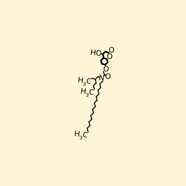 CCCCCCCCCCCCCCCCCCN(CC(CC)CCCC)C(=O)COc1ccc2c(O)cc(=O)oc2c1